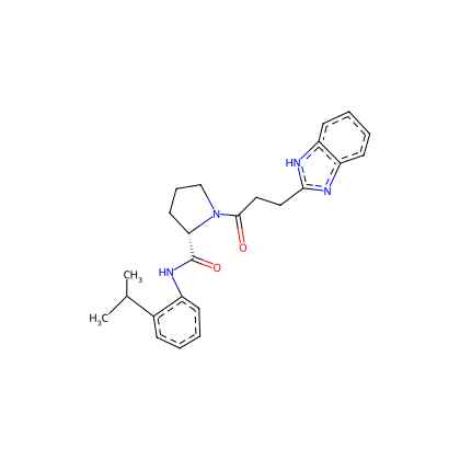 CC(C)c1ccccc1NC(=O)[C@@H]1CCCN1C(=O)CCc1nc2ccccc2[nH]1